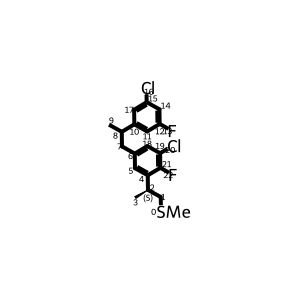 CSC[C@@H](C)c1cc(CC(C)c2cc(F)cc(Cl)c2)cc(Cl)c1F